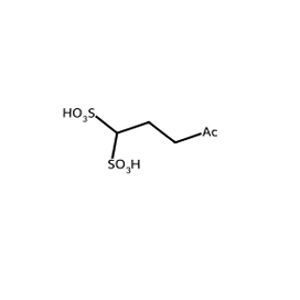 CC(=O)CCC(S(=O)(=O)O)S(=O)(=O)O